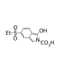 CCS(=O)(=O)c1ccc2c(O)n(C(=O)O)cc2c1